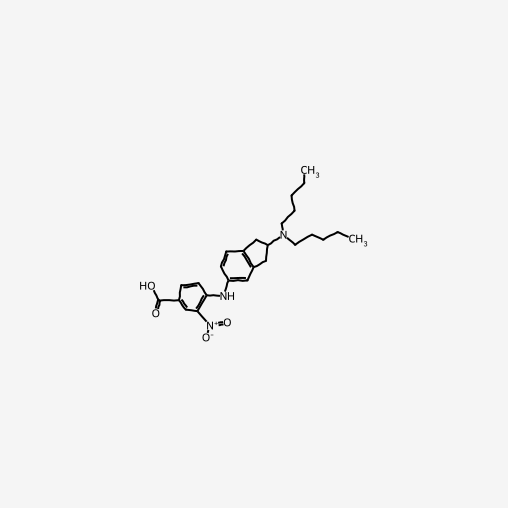 CCCCCN(CCCCC)C1Cc2ccc(Nc3ccc(C(=O)O)cc3[N+](=O)[O-])cc2C1